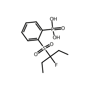 CCC(F)(CC)S(=O)(=O)c1ccccc1P(=O)(O)O